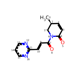 C[C@H]1C=CC(=O)N(C(=O)/C=C/c2ncccn2)C1